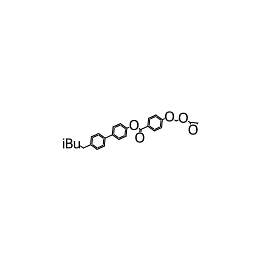 CCC(C)Cc1ccc(-c2ccc(OC(=O)c3ccc(OCOC4CO4)cc3)cc2)cc1